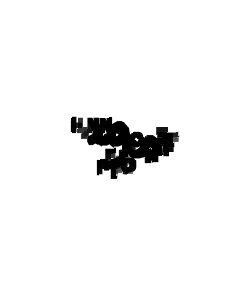 CO[C@@H](CN(Cc1ccc(C(F)(F)F)cn1)C(=O)c1ccc2nc(N)c(C)cc2c1)C(F)(F)F